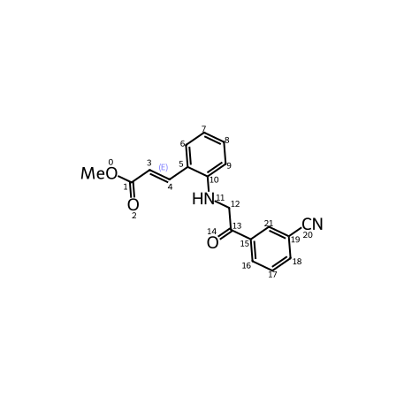 COC(=O)/C=C/c1ccccc1NCC(=O)c1cccc(C#N)c1